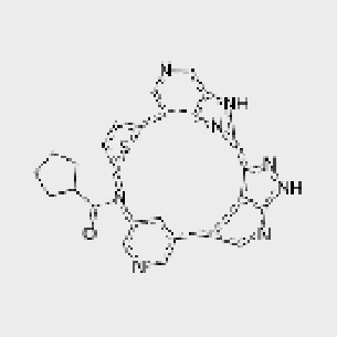 O=C(C1CCCC1)n1c2cncc(c2)c2cnc3[nH]nc(c4nc5c(cncc5c5ccc1s5)[nH]4)c3c2